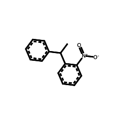 CC(c1ccccc1)c1ccccc1[N+](=O)[O-]